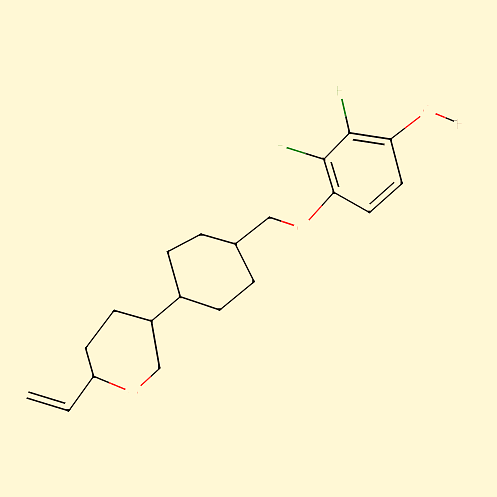 C=CC1CCC(C2CCC(COc3ccc(OCC)c(F)c3F)CC2)CO1